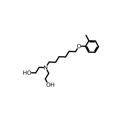 Cc1ccccc1OCCCCCCN(CCO)CCO